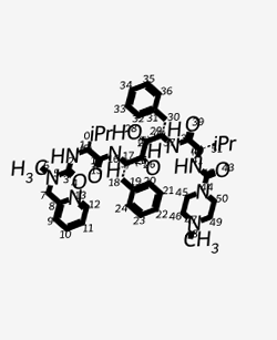 CC(C)[C@H](NC(=O)N(C)Cc1ccccn1)C(=O)N[C@@H](Cc1ccccc1)[C@H](O)[C@@H](O)[C@H](Cc1ccccc1)NC(=O)[C@@H](NC(=O)N1CCN(C)CC1)C(C)C